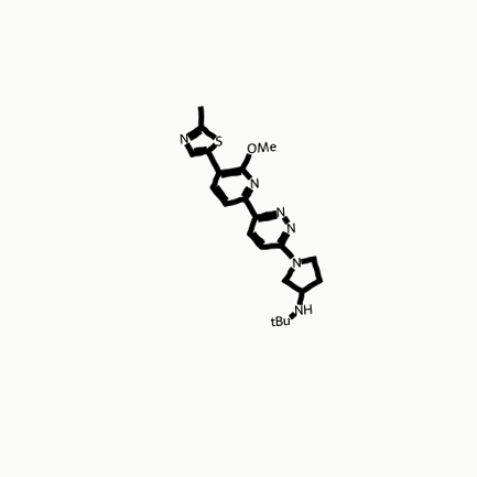 COc1nc(-c2ccc(N3CCC(NC(C)(C)C)C3)nn2)ccc1-c1cnc(C)s1